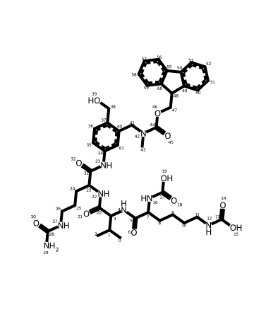 CC(C)C(NC(=O)C(CCCCNC(=O)O)NC(=O)O)C(=O)NC(CCCNC(N)=O)C(=O)Nc1ccc(CO)c(CN(C)C(=O)OCC2c3ccccc3-c3ccccc32)c1